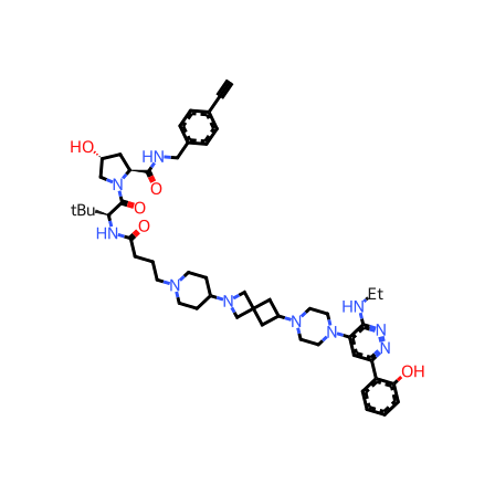 C#Cc1ccc(CNC(=O)[C@@H]2C[C@@H](O)CN2C(=O)[C@@H](NC(=O)CCCN2CCC(N3CC4(CC(N5CCN(c6cc(-c7ccccc7O)nnc6NCC)CC5)C4)C3)CC2)C(C)(C)C)cc1